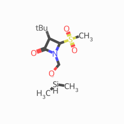 C[SiH](C)OCN1C(=O)C(C(C)(C)C)C1S(C)(=O)=O